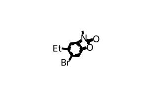 CCc1cc2c(cc1Br)oc(=O)n2C